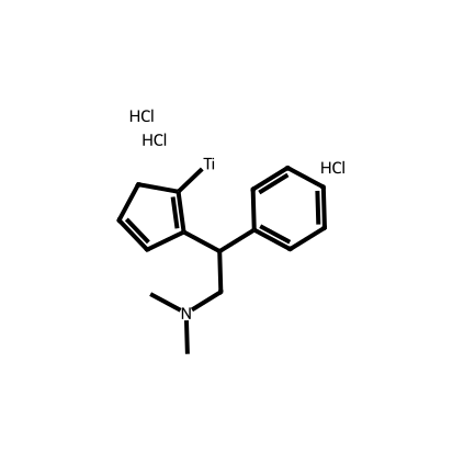 CN(C)CC(C1=[C]([Ti])CC=C1)c1ccccc1.Cl.Cl.Cl